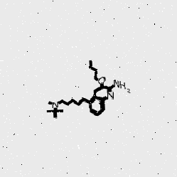 CCCCOc1cc2c(CCCCCN(C)C(C)(C)C)cccc2nc1N